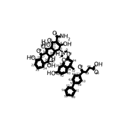 CN(C)[C@@H]1C(O)=C(C(N)=O)C(=O)[C@@]2(O)C(O)=C3C(=O)c4c(O)cccc4[C@@](C)(O)[C@H]3C[C@@H]12.Cc1cc(=O)oc2cc(O)ccc12.O=C(O)CCC(=O)c1ccc(-c2ccccc2)cc1